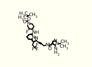 CC(C)n1ncc(C(=O)NCC#Cc2nn3c(N[C@@H]4CCN(C(=O)OC(C)(C)C)C[C@@H]4F)cccc3c2CC(F)(F)F)c1N